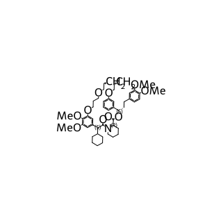 C=CCOCCCOc1cc([C@@H](C(=O)N2CCCC[C@@H]2C(=O)O[C@@H](CCc2ccc(OC)c(OC)c2)c2cccc(OCC=C)c2)C2CCCCC2)cc(OC)c1OC